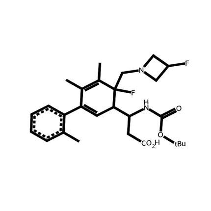 CC1=C(C)C(F)(CN2CC(F)C2)C(C(CC(=O)O)NC(=O)OC(C)(C)C)C=C1c1ccccc1C